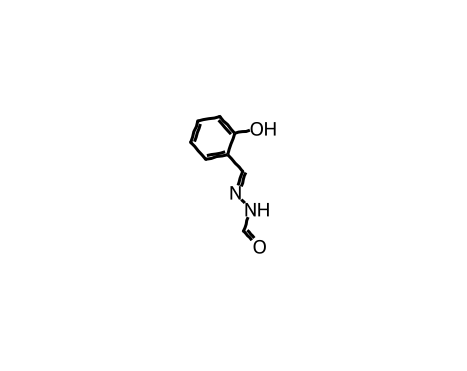 O=CNN=Cc1ccccc1O